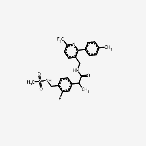 Cc1ccc(-c2nc(C(F)(F)F)ccc2CNC(=O)C(C)c2ccc(CNS(C)(=O)=O)c(F)c2)cc1